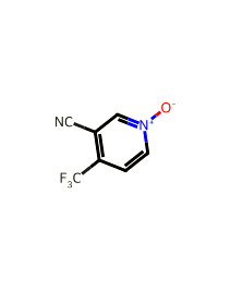 N#Cc1c[n+]([O-])ccc1C(F)(F)F